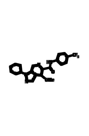 COc1c(C(=O)Nc2ccc(C(F)(F)F)cc2)ncc2c1cnn2-c1ccccc1